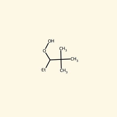 C[CH]C(OO)C(C)(C)C